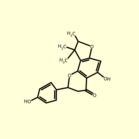 CC1Oc2cc(O)c3c(c2C1(C)C)OC(c1ccc(O)cc1)CC3=O